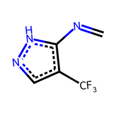 C=Nc1[nH]ncc1C(F)(F)F